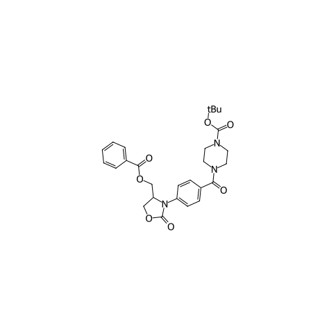 CC(C)(C)OC(=O)N1CCN(C(=O)c2ccc(N3C(=O)OCC3COC(=O)c3ccccc3)cc2)CC1